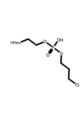 CCCCCCCCOP(=O)(O)OCCCCl